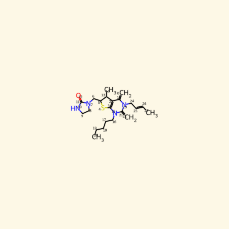 C=C1C2=C(SC(CN3CCNC3=O)C2C)N(CCCCC)C(=C)N1C/C=C/C